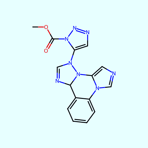 COC(=O)n1nncc1N1C=NC2c3ccccc3-n3cncc3N21